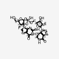 Nc1nc2c(ncn2[C@]2(OP(=O)(S)OC[C@H]3O[C@@H](n4nnc5c(=O)[nH]cnc54)[C@@H](F)[C@@H]3O)CO[C@H](CO)[C@H]2F)c(=O)[nH]1